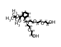 CC(C)(C)OC(=O)c1ccccc1SN(CCOCCO)CCOCCOCCO